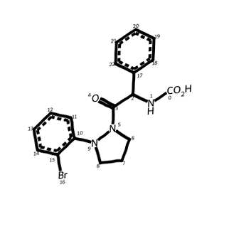 O=C(O)NC(C(=O)N1CCCN1c1ccccc1Br)c1ccccc1